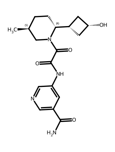 C[C@H]1CC[C@H]([C@H]2C[C@@H](O)C2)N(C(=O)C(=O)Nc2cncc(C(N)=O)c2)C1